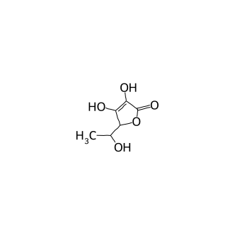 CC(O)C1OC(=O)C(O)=C1O